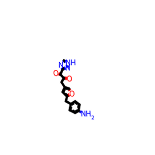 Nc1ccc(Cc2cc(CC(=O)C(=O)c3nc[nH]n3)co2)cc1